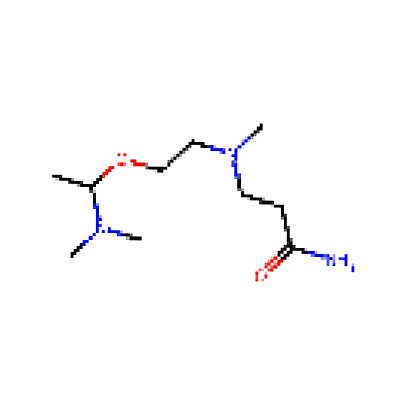 CC(OCCN(C)CCC(N)=O)N(C)C